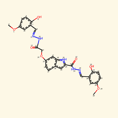 COc1ccc(O)c(/C=N/NC(=O)COc2ccc3cc(C(=O)N/N=C/c4cc(OC)ccc4O)[nH]c3c2)c1